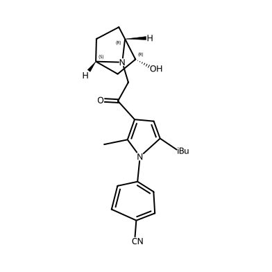 CCC(C)c1cc(C(=O)CN2[C@H]3CC[C@@H]2[C@H](O)C3)c(C)n1-c1ccc(C#N)cc1